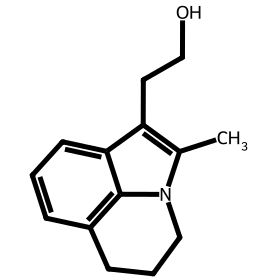 Cc1c(CCO)c2cccc3c2n1CCC3